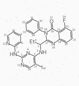 CCC(Nc1nc(Nc2ccccn2)ncc1I)c1nc2cccc(F)c2c(=O)n1-c1ccccc1